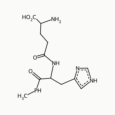 CPC(=O)C(Cc1c[nH]cn1)NC(=O)CCC(N)C(=O)O